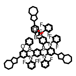 Fc1cccc(F)c1N1c2cc3c(cc2B2c4ccccc4Oc4cc(C5CC6CCCCCC6C5)cc1c42)B1c2cc4c(cc2N(c2c(F)cccc2F)c2cc(C5CC6CCCCCC6C5)cc(c21)N3c1c(F)cccc1F)N(c1c(F)cccc1F)c1cc(C2CC3CCCCCC3C2)cc2c1B4c1ccccc1O2